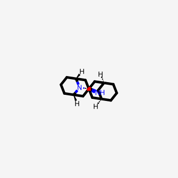 N=C1C[C@H]2CCC[C@@H](C1)N2[C@H]1C[C@@H]2CCC[C@@H](C2)C1